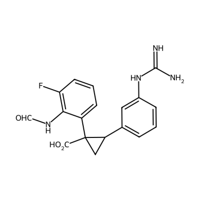 N=C(N)Nc1cccc(C2CC2(C(=O)O)c2cccc(F)c2NC=O)c1